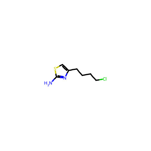 Nc1nc(CCCCCl)cs1